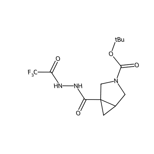 CC(C)(C)OC(=O)N1CC2CC2(C(=O)NNC(=O)C(F)(F)F)C1